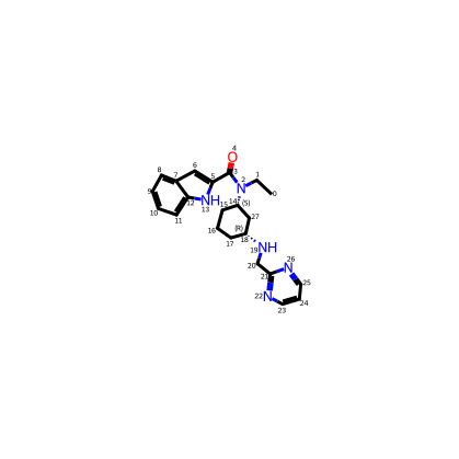 CCN(C(=O)c1cc2ccccc2[nH]1)[C@H]1CCC[C@@H](NCc2ncccn2)C1